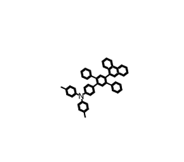 Cc1ccc(N(c2ccc(C)cc2)c2ccc(-c3cc(-c4ccccc4)c(-c4cc5ccccc5c5ccccc45)cc3-c3ccccc3)cc2)cc1